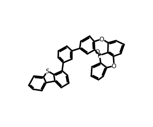 O=P12c3ccccc3Oc3cccc(c31)Oc1ccc(-c3cccc(-c4cccc5c4sc4ccccc45)c3)cc12